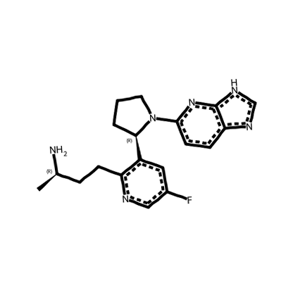 C[C@@H](N)CCc1ncc(F)cc1[C@H]1CCCN1c1ccc2nc[nH]c2n1